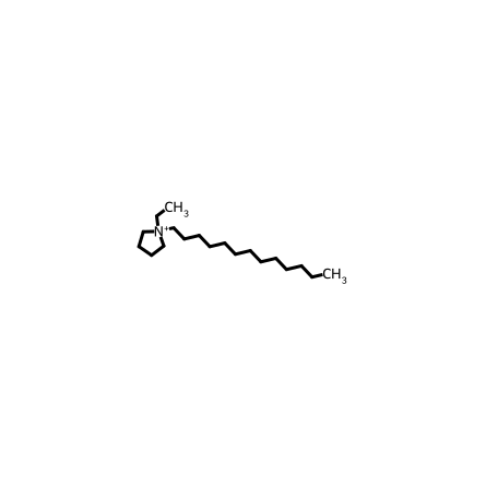 CCCCCCCCCCCCC[N+]1(CC)CCCC1